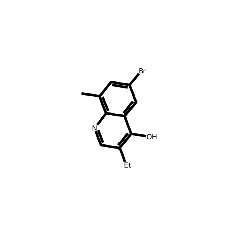 [CH2]Cc1cnc2c(C)cc(Br)cc2c1O